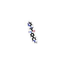 CC(=O)N1CCC(c2ccc(NC(=O)C3CN(c4cccnn4)C3)cc2)CC1